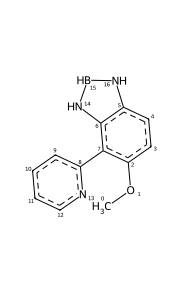 COc1ccc2c(c1-c1ccccn1)NBN2